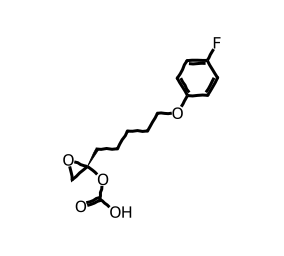 O=C(O)O[C@]1(CCCCCOc2ccc(F)cc2)CO1